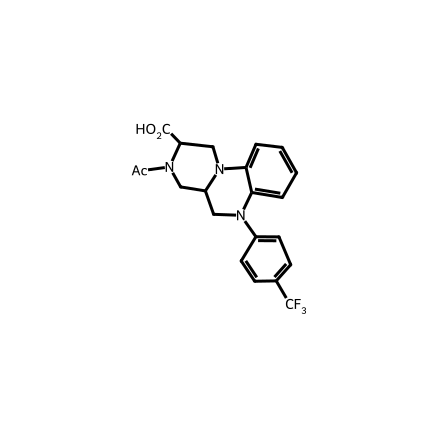 CC(=O)N1CC2CN(c3ccc(C(F)(F)F)cc3)c3ccccc3N2CC1C(=O)O